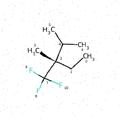 CC[C@@](C)(C(C)C)C(F)(F)F